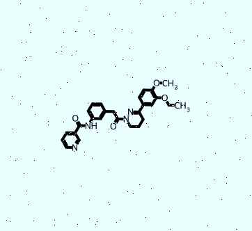 CCOc1cc(C2=NN(C(=O)Cc3cccc(NC(=O)c4cccnc4)c3)CCC2)ccc1OC